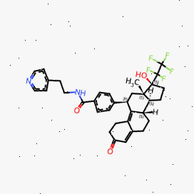 C[C@]12C[C@H](c3ccc(C(=O)NCCc4ccncc4)cc3)C3=C4CCC(=O)C=C4CC[C@H]3[C@@H]1CC[C@@]2(O)C(F)(F)C(F)(F)F